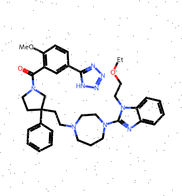 CCOCCn1c(N2CCCN(CCC3(c4ccccc4)CCN(C(=O)c4cc(-c5nnn[nH]5)ccc4OC)C3)CC2)nc2ccccc21